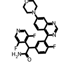 NC(=O)C(c1ccc(F)c(-c2ncnc3cc(N4CCOCC4)ccc23)c1)c1c(F)cncc1F